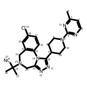 Cc1ccnc(N2CCC(c3nnc4n3-c3ccc(Cl)cc3CN(C(C)(C)C#N)C4)CC2)n1